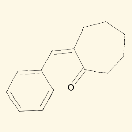 O=C1CCCCC/C1=C/c1ccccc1